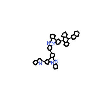 c1ccc2cc(-c3c4ccccc4c(-c4ccc5c(c4)c4ccccc4c4nc6ccc(-c7ccc8c(c7)c7cc(-c9ccc%10ccccc%10n9)ccc7n7c9ccccc9nc87)cc6n54)c4ccccc34)ccc2c1